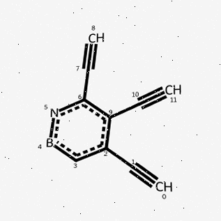 C#Cc1cbnc(C#C)c1C#C